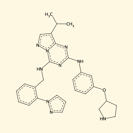 CC(C)c1cnn2c(NCc3ccccc3-n3cccn3)nc(Nc3cccc(OC4CCNC4)c3)nc12